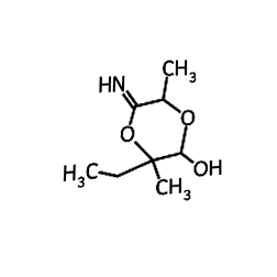 CCC1(C)OC(=N)C(C)OC1O